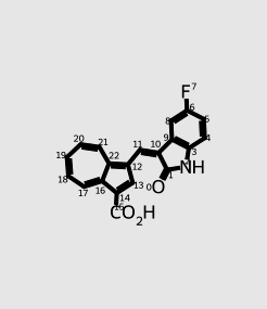 O=C1Nc2ccc(F)cc2C1=Cc1cc(C(=O)O)c2cccccc1-2